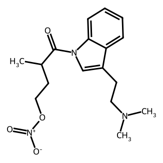 CC(CCO[N+](=O)[O-])C(=O)n1cc(CCN(C)C)c2ccccc21